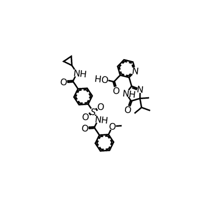 CC(C)C1(C)N=C(c2ncccc2C(=O)O)NC1=O.COc1ccccc1C(=O)NS(=O)(=O)c1ccc(C(=O)NC2CC2)cc1